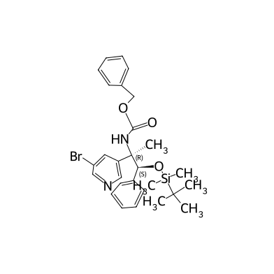 CC(C)(C)[Si](C)(C)O[C@@H](c1ccccc1)[C@](C)(NC(=O)OCc1ccccc1)c1cncc(Br)c1